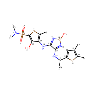 CCN(CC)S(=O)(=O)c1sc(C)c(Nc2n[s+]([O-])nc2N[C@@H](c2cc(C)c(C)s2)C(C)C)c1O